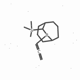 C=C=CB1C2CCCC(CCC2)C1[Si](C)(C)C